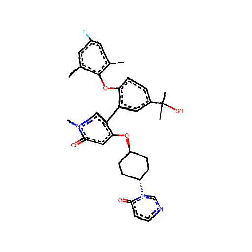 Cc1cc(F)cc(C)c1Oc1ccc(C(C)(C)O)cc1-c1cn(C)c(=O)cc1O[C@H]1CC[C@H](n2cnccc2=O)CC1